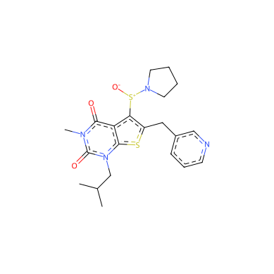 CC(C)Cn1c(=O)n(C)c(=O)c2c([S+]([O-])N3CCCC3)c(Cc3cccnc3)sc21